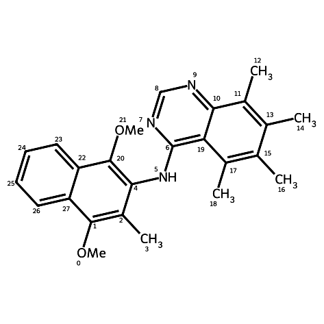 COc1c(C)c(Nc2ncnc3c(C)c(C)c(C)c(C)c23)c(OC)c2ccccc12